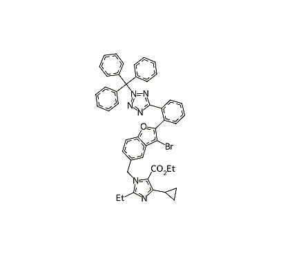 CCOC(=O)c1c(C2CC2)nc(CC)n1Cc1ccc2oc(-c3ccccc3-c3nnn(C(c4ccccc4)(c4ccccc4)c4ccccc4)n3)c(Br)c2c1